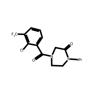 CC(C)N1CCN(C(=O)c2cccc(C(F)(F)F)c2Cl)CC1=O